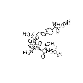 Cc1sc(N)nc1C(=NOC(COc1ccc(C(=N)NC2CNC2)cc1)C(=O)O)C(=O)N[C@@H]1C(=O)N(S(=O)(=O)O)[C@@H]1C